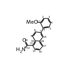 COc1ccccc1-c1ccc2c(C(N)=O)cccc2c1